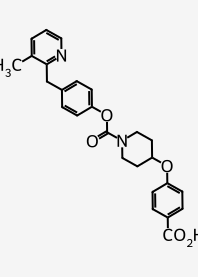 Cc1cccnc1Cc1ccc(OC(=O)N2CCC(Oc3ccc(C(=O)O)cc3)CC2)cc1